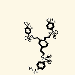 Cc1ccc(S(=O)(=O)SCCC2CCC(CCSS(=O)(=O)c3ccc(C)cc3)C(CCSS(=O)(=O)c3ccc(C)cc3)C2)cc1